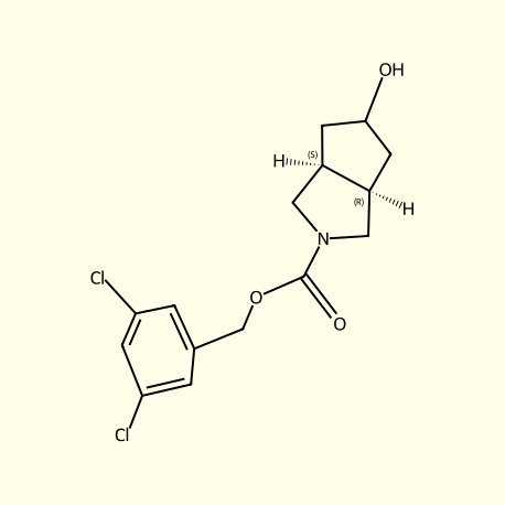 O=C(OCc1cc(Cl)cc(Cl)c1)N1C[C@H]2CC(O)C[C@H]2C1